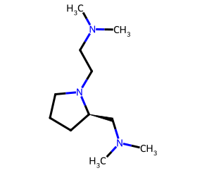 CN(C)CCN1CCC[C@@H]1CN(C)C